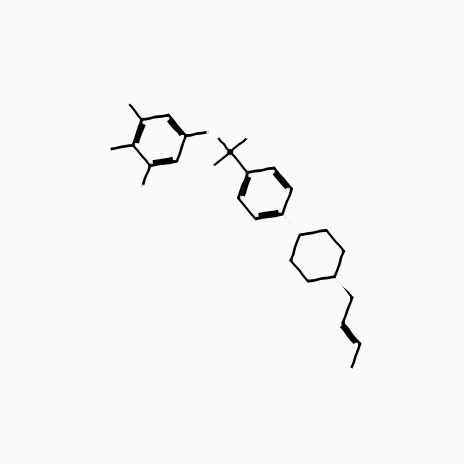 CC=CC[C@H]1CC[C@H](c2ccc(C(F)(F)Oc3cc(F)c(F)c(F)c3)cc2)CC1